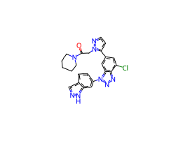 O=C(Cn1nccc1-c1cc(Cl)c2nnn(-c3ccc4cn[nH]c4c3)c2c1)N1CCCCC1